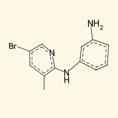 Cc1cc(Br)cnc1Nc1cccc(N)c1